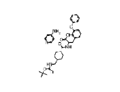 CC(C)(C)OC(=O)NC[C@H]1CC[C@H](C(=O)NC(Cc2cccc(Oc3ccccc3)c2)C(=O)O)CC1.Nc1ccncc1